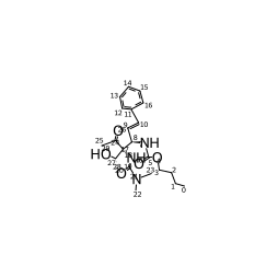 CCCCOC(=O)N[C@H](/C=C/c1ccccc1)[C@](NC(=O)N(C)C)(C(C)=O)[C@H](C)O